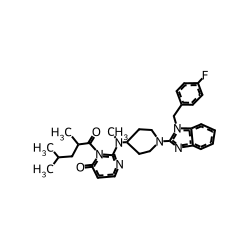 CC(C)CC(C)C(=O)n1c(N(C)C2CCN(c3nc4ccccc4n3Cc3ccc(F)cc3)CC2)nccc1=O